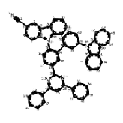 N#Cc1ccc2c(c1)c1ccccc1n2-c1ccc(-c2nc(-c3ccccc3)cc(-c3ccccc3)n2)cc1-c1cccc(-n2c3ccccc3c3ccccc32)c1